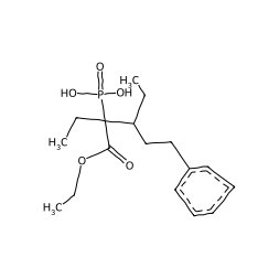 CCOC(=O)C(CC)(C(CC)CCc1ccccc1)P(=O)(O)O